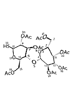 CC(=O)OC[C@H]1O[C@@H](O[C@H]2[C@H](OC(C)=O)[C@@H](OC(C)=O)C(S)O[C@@H]2COC(C)=O)[C@H](OC(C)=O)[C@@H](OC(C)=O)[C@H]1OC(C)=O